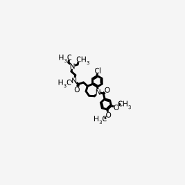 CCN(CC)CCN(C)C(=O)CC1CCCN(C(=O)c2ccc(OC)c(OC)c2)c2ccc(Cl)cc21